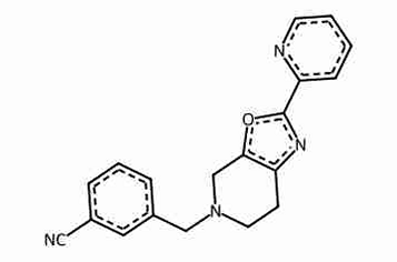 N#Cc1cccc(CN2CCc3nc(-c4ccccn4)oc3C2)c1